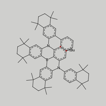 CC(C)(C)c1cc2c3c(c1)N(c1cc4c(cc1-c1ccccc1)C(C)(C)CCC4(C)C)c1cc4c(cc1B3c1cc3c(cc1N2c1ccc2c(c1)C(C)(C)CCC2(C)C)C(C)(C)CCC3(C)C)C(C)(C)CCC4(C)C